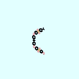 COc1ccc(S(=O)(=O)c2ccc(Oc3ccc(C(C)(C)c4ccc(Oc5ccc(S(=O)(=O)c6ccc(C(C)C)cc6)cc5)cc4)cc3)cc2)cc1